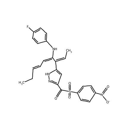 C\C=C(/C(=C\C=C\CC)Nc1ccc(F)cc1)c1cc(C(=O)S(=O)(=O)c2ccc([N+](=O)[O-])cc2)n[nH]1